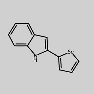 c1c[se]c(-c2cc3ccccc3[nH]2)c1